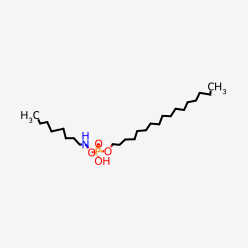 CCCCCCCCCCCCCCCCCOP(=O)(O)ONCCCCCCCC